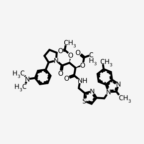 CC(=O)O[C@@H](C(=O)NCc1nc(Cn2c(C)nc3cc(C)ccc32)cs1)[C@@H](OC(C)=O)C(=O)N1CCCC1c1cccc(N(C)C)c1